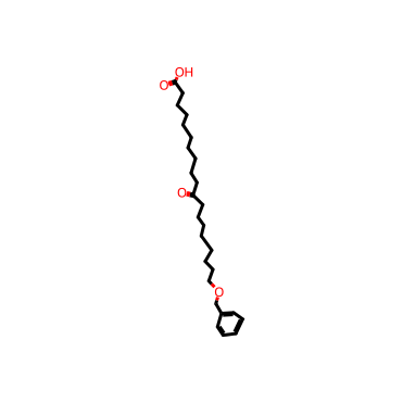 O=C(O)CCCCCCCCCC(=O)CCCCCCCCOCc1ccccc1